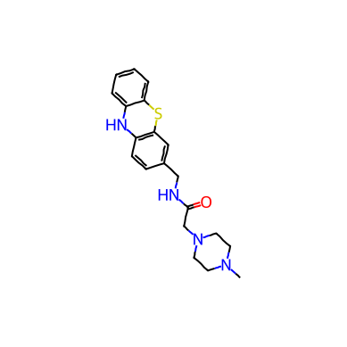 CN1CCN(CC(=O)NCc2ccc3c(c2)Sc2ccccc2N3)CC1